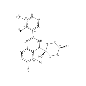 O=C(NC(c1cccc(F)c1Cl)[C@]1(O)CC[C@@H](F)CC1)c1ccnc(C(F)(F)F)c1Cl